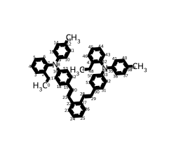 CCc1ccccc1N(c1ccc(C)cc1)c1ccc(C=Cc2ccccc2C=Cc2ccc(N(c3ccc(C)cc3)c3ccccc3CC)cc2)cc1